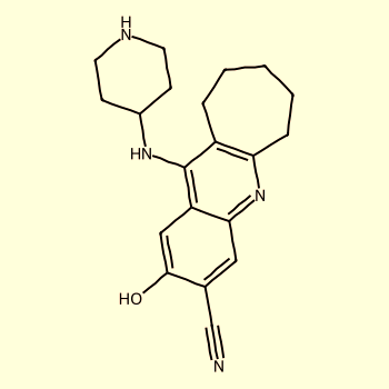 N#Cc1cc2nc3c(c(NC4CCNCC4)c2cc1O)CCCCC3